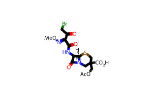 CON=C(C(=O)CBr)C(=O)NC1C(=O)N2CC(COC(C)=O)(C(=O)O)CS[C@H]12